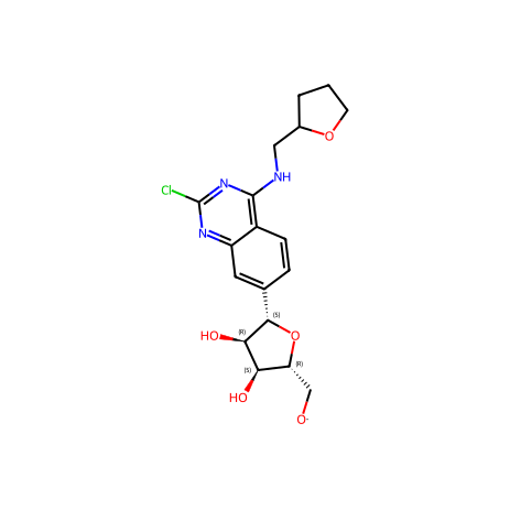 [O]C[C@H]1O[C@@H](c2ccc3c(NCC4CCCO4)nc(Cl)nc3c2)[C@H](O)[C@@H]1O